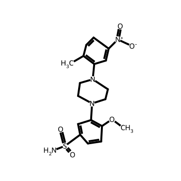 COc1ccc(S(N)(=O)=O)cc1N1CCN(c2cc([N+](=O)[O-])ccc2C)CC1